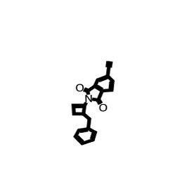 C#Cc1ccc2c(c1)C(=O)N(C1=CCC1Cc1ccccc1)C2=O